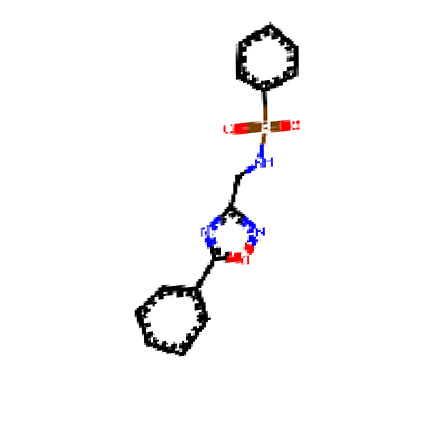 O=S(=O)(NCc1noc(-c2ccccc2)n1)c1ccccc1